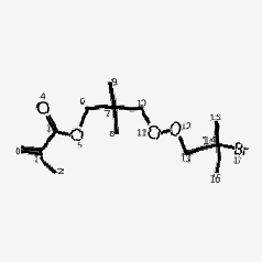 C=C(C)C(=O)OCC(C)(C)COOCC(C)(C)Br